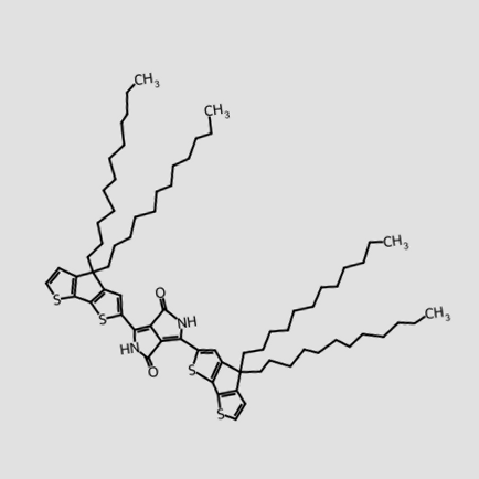 CCCCCCCCCCCCC1(CCCCCCCCCCCC)c2ccsc2-c2sc(C3=C4C(=O)NC(c5cc6c(s5)-c5sccc5C6(CCCCCCCCCCCC)CCCCCCCCCCCC)=C4C(=O)N3)cc21